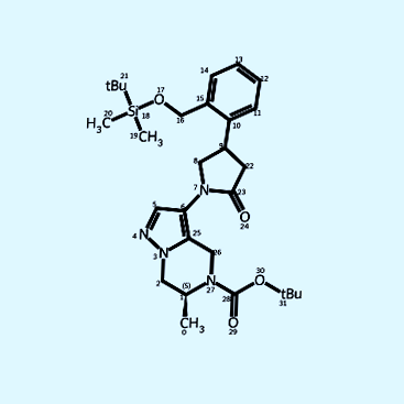 C[C@H]1Cn2ncc(N3CC(c4ccccc4CO[Si](C)(C)C(C)(C)C)CC3=O)c2CN1C(=O)OC(C)(C)C